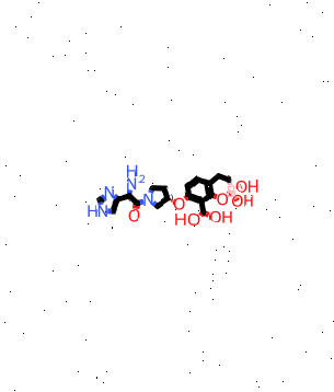 NC(C(=O)N1CC[C@H](Oc2ccc3c(c2C(O)O)O[B-](O)(O)CC3)C1)c1c[nH]cn1